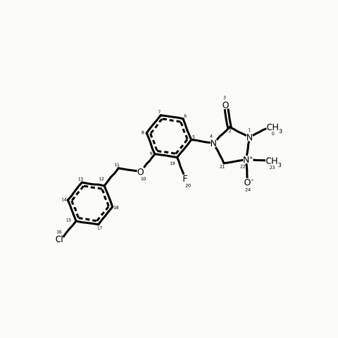 CN1C(=O)N(c2cccc(OCc3ccc(Cl)cc3)c2F)C[N+]1(C)[O-]